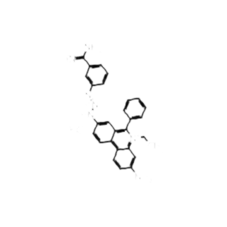 CC[n+]1c(-c2ccccc2)c2cc(NN=Nc3cccc(C(=N)N)c3)ccc2c2ccc(N)cc21.Cl